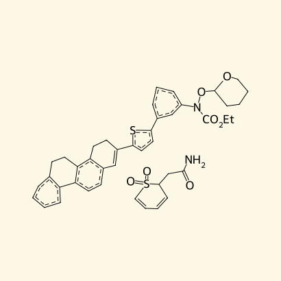 CCOC(=O)N(OC1CCCCO1)c1cccc(-c2ccc(C3=Cc4ccc5c(c4CC3)CCc3ccccc3-5)s2)c1.NC(=O)CC1C=CC=CS1(=O)=O